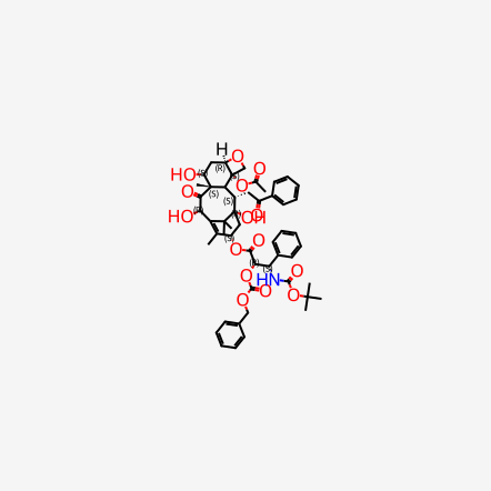 CC(=O)O[C@@]12CO[C@@H]1C[C@H](O)[C@@]1(C)C(=O)[C@H](O)C3=C(C)[C@@H](OC(=O)[C@H](OC(=O)OCc4ccccc4)[C@@H](NC(=O)OC(C)(C)C)c4ccccc4)C[C@@](O)([C@@H](CC(=O)c4ccccc4)C12)C3(C)C